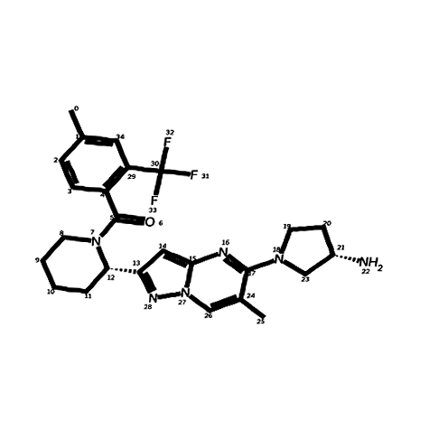 Cc1ccc(C(=O)N2CCCC[C@H]2c2cc3nc(N4CC[C@H](N)C4)c(C)cn3n2)c(C(F)(F)F)c1